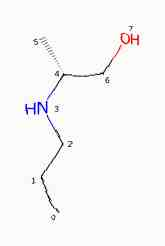 CCCN[C@H](C)CO